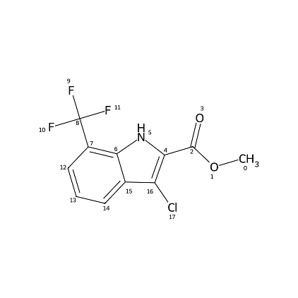 COC(=O)c1[nH]c2c(C(F)(F)F)cccc2c1Cl